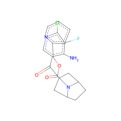 Nc1c(C(=O)C2CC3CCC(C2)N3C(=O)OCc2ccccc2)cnc(Cl)c1F